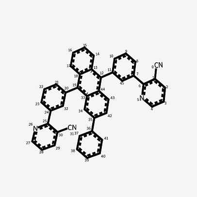 N#Cc1cccnc1-c1cccc(-c2c3ccccc3c(-c3cccc(-c4ncccc4C#N)c3)c3cc(-c4ccccc4)ccc23)c1